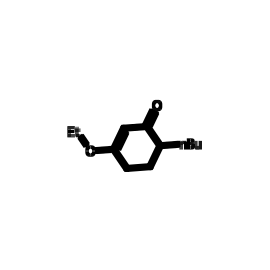 CCCCC1CCC(OCC)=CC1=O